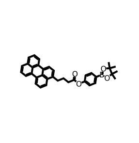 CC1(C)OB(c2ccc(OC(=O)CCCc3ccc4c5cccc6cccc(c7cccc3c74)c65)cc2)OC1(C)C